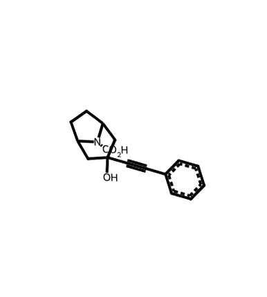 O=C(O)N1C2CCC1CC(O)(C#Cc1ccccc1)C2